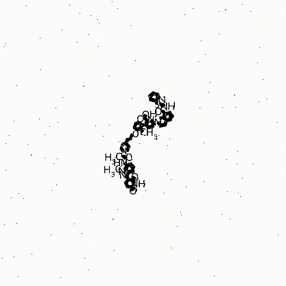 Cc1c(OCCCC2CCN([C@H](C)C(=O)Nc3cccc4c(C5CCC(=O)NC5=O)nn(C)c34)CC2)cccc1-c1ccc(N2CCc3cccc(C(=O)Nc4nc5ccccc5s4)c3C2)nc1C(=O)O